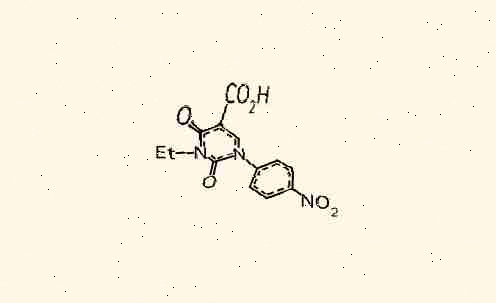 CCn1c(=O)c(C(=O)O)cn(-c2ccc([N+](=O)[O-])cc2)c1=O